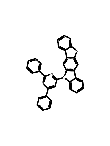 c1ccc(-c2cc(-n3c4ccccc4c4cc5sc6ccccc6c5cc43)nc(-c3ccccc3)n2)cc1